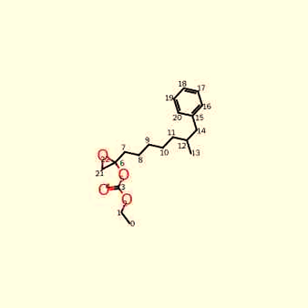 CCOC(=O)OC1(CCCCCC(C)Cc2ccccc2)CO1